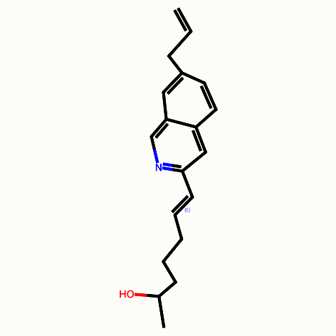 C=CCc1ccc2cc(/C=C/CCCC(C)O)ncc2c1